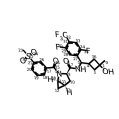 CC1(O)CC(C(NC(=O)[C@H]2C[C@H]3C[C@H]3N2C(=O)c2cccc(S(C)(=O)=O)c2)c2cc(F)c(C(F)(F)F)cc2F)C1